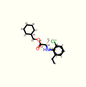 CCc1cccc(Cl)c1N[C@@H](C)C(=O)OCC1CCCCC1